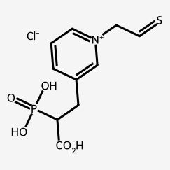 O=C(O)C(Cc1ccc[n+](CC=S)c1)P(=O)(O)O.[Cl-]